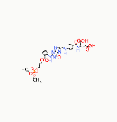 C#COP(=O)(OCC)OCCCCOC(=O)c1ccccc1Nc1nc(=O)c2nc(CNc3ccc(C(=O)N[C@@H](CCC(=O)O)C(=O)O)cc3)cnc2[nH]1